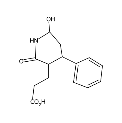 O=C(O)CCC1C(=O)NC(O)CC1c1ccccc1